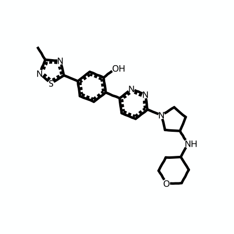 Cc1nsc(-c2ccc(-c3ccc(N4CCC(NC5CCOCC5)C4)nn3)c(O)c2)n1